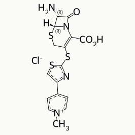 C[n+]1ccc(-c2csc(SC3=C(C(=O)O)N4C(=O)[C@@H](N)[C@H]4SC3)n2)cc1.[Cl-]